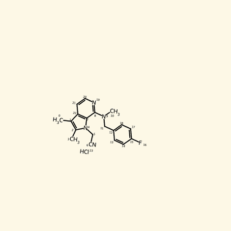 Cc1c(C)n(CC#N)c2c(N(C)Cc3ccc(F)cc3)nccc12.Cl